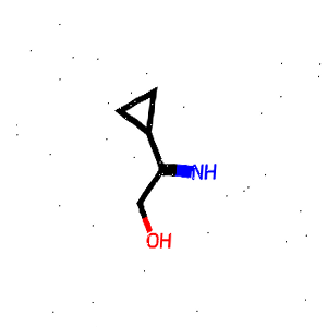 N=C(CO)C1CC1